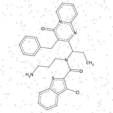 CCC(c1nc2ccccn2c(=O)c1Cc1ccccc1)N(CCCN)C(=O)c1sc2ccccc2c1Cl